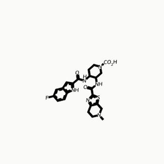 CN1CCc2nc(C(=O)NC3CN(C(=O)O)CCC3NC(=O)c3cc4cc(F)ccc4[nH]3)sc2C1